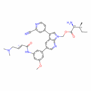 CC[C@H](C)[C@H](N)C(=O)OCn1cc(-c2ccnc(C#N)c2)c2cc(-c3cc(NC(=O)/C=C/CN(C)C)cc(OC)c3)cnc21